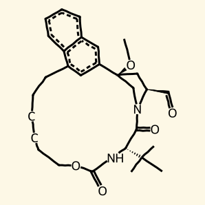 CO[C@@]12C[C@@H](C=O)N(C1)C(=O)[C@H](C(C)(C)C)NC(=O)OCCCCCCc1cc2cc2ccccc12